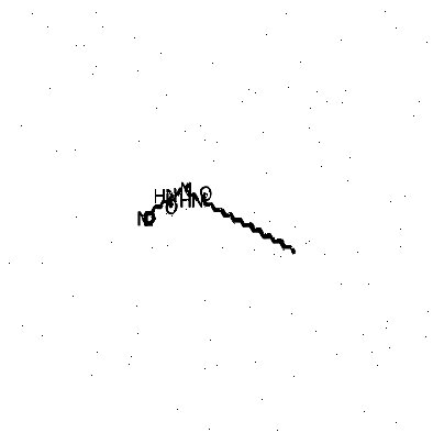 CC/C=C/C/C=C/C/C=C/C/C=C/C/C=C/CCCC(=O)NCCN(C)CCNC(=O)C/C=C/c1cccnc1